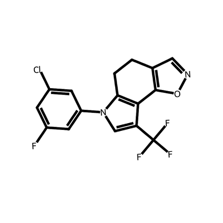 Fc1cc(Cl)cc(-n2cc(C(F)(F)F)c3c2CCc2cnoc2-3)c1